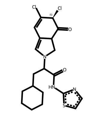 O=C(Nc1nccs1)C(CC1CCCCC1)N1C=C2C=C(Cl)[C@@H](Cl)C(=O)C2C1